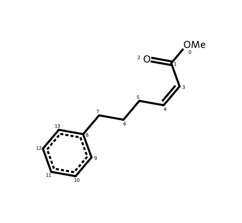 COC(=O)/C=C\CCCc1ccccc1